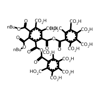 CCCCOC(=O)c1c(C(=O)O)c(C(=O)O)c(C(=O)OC(=O)c2c(C(=O)O)c(C(=O)O)c(C(=O)O)c(C(=O)O)c2C(=O)O)c(C(=O)OC(=O)c2c(C(=O)O)c(C(=O)O)c(C(=O)O)c(C(=O)O)c2C(=O)O)c1C(=O)OCCCC